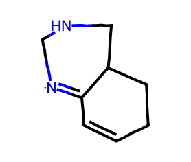 C1=CC2=[N+]CNCC2CC1